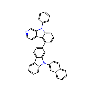 c1ccc(-n2c3cnccc3c3c(-c4ccc5c6ccccc6n(-c6ccc7ccccc7c6)c5c4)cccc32)cc1